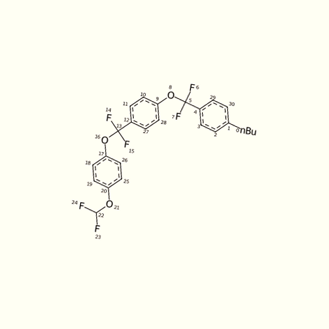 CCCCc1ccc(C(F)(F)Oc2ccc(C(F)(F)Oc3ccc(OC(F)F)cc3)cc2)cc1